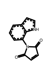 O=C1C=CC(=O)N1c1cccc2cc[nH]c12